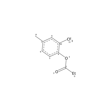 CCC(=O)Oc1ccc(C)cc1C(F)(F)F